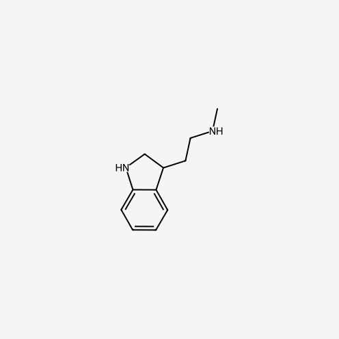 CNCCC1CNc2ccccc21